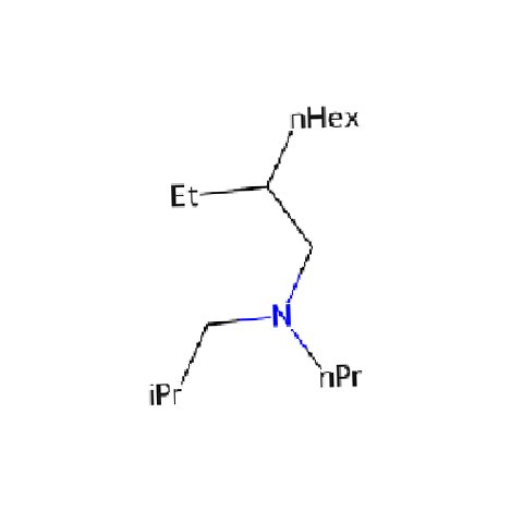 CCCCCCC(CC)CN(CCC)CC(C)C